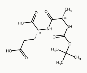 C[C@H](NC(=O)OC(C)(C)C)C(=O)N[C@H](CCC(=O)O)C(=O)O